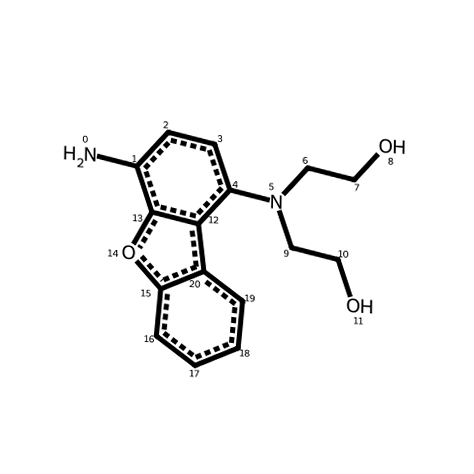 Nc1ccc(N(CCO)CCO)c2c1oc1ccccc12